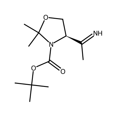 CC(=N)[C@@H]1COC(C)(C)N1C(=O)OC(C)(C)C